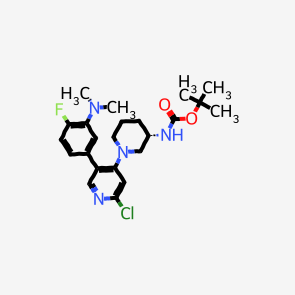 CN(C)c1cc(-c2cnc(Cl)cc2N2CCC[C@H](NC(=O)OC(C)(C)C)C2)ccc1F